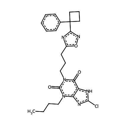 CCCCn1c(=O)n(CCCc2nc(C3(c4ccccc4)CCC3)no2)c(=O)c2[nH]c(Cl)nc21